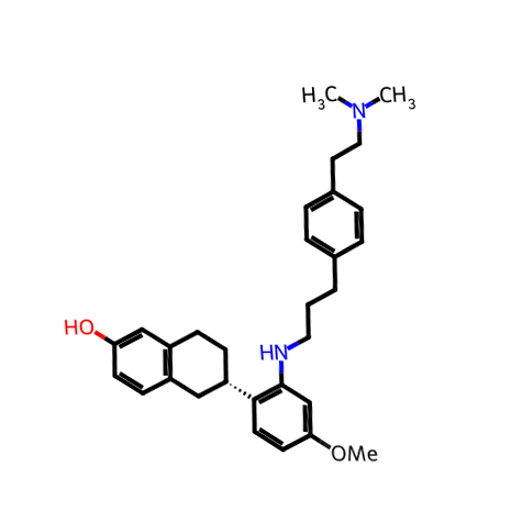 COc1ccc([C@H]2CCc3cc(O)ccc3C2)c(NCCCc2ccc(CCN(C)C)cc2)c1